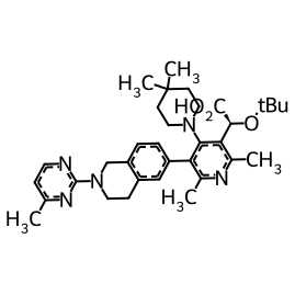 Cc1ccnc(N2CCc3cc(-c4c(C)nc(C)c([C@H](OC(C)(C)C)C(=O)O)c4N4CCC(C)(C)CC4)ccc3C2)n1